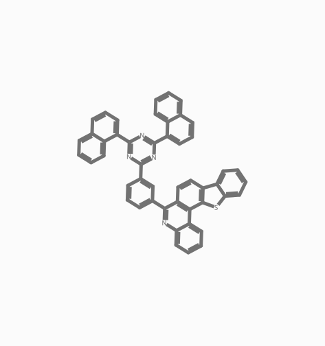 c1cc(-c2nc(-c3cccc4ccccc34)nc(-c3cccc4ccccc34)n2)cc(-c2nc3ccccc3c3c2ccc2c4ccccc4sc23)c1